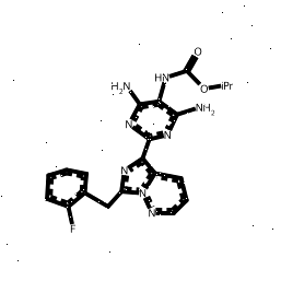 CC(C)OC(=O)Nc1c(N)nc(-c2nc(Cc3ccccc3F)n3ncccc23)nc1N